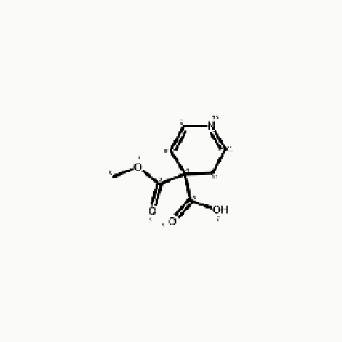 COC(=O)C1(C(=O)O)C=CN=CC1